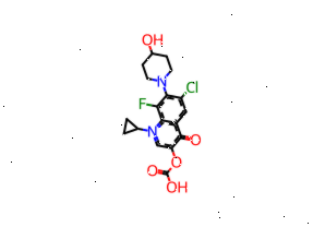 O=C(O)Oc1cn(C2CC2)c2c(F)c(N3CCC(O)CC3)c(Cl)cc2c1=O